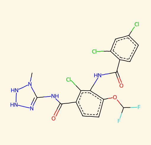 CN1NNN=C1NC(=O)c1ccc(OC(F)F)c(NC(=O)c2ccc(Cl)cc2Cl)c1Cl